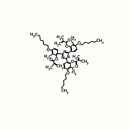 C=C(C)C(=O)Oc1c(-c2nc(-c3ccc(OCCCCCC)c(C)c3OC(=O)C(=C)C)nc(-c3ccc(OCCCCCC)c(C)c3OC(=O)C(=C)C)n2)ccc(OCCCCCC)c1C